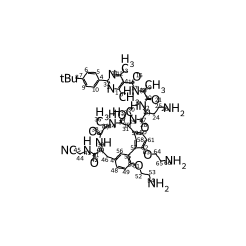 Cc1nc(-c2ccc(C(C)(C)C)cc2)nc(C)c1C(=O)N[C@@H](C)C(=O)N[C@@H](CCN)C(=O)N(C)[C@@H]1C(=O)N[C@@H](C)C(=O)N[C@H](C(=O)NCC#N)Cc2ccc(OCCN)c(c2)-c2cc1ccc2OCCN